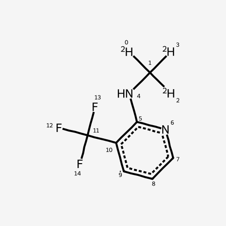 [2H]C([2H])([2H])Nc1ncc[c]c1C(F)(F)F